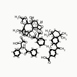 C=C(c1ccc(C(=O)O)cc1)c1cc2c(cc1C)C(C)(C)CCC2(C)C.CC(=O)O[C@H]1C(=O)[C@@]2(C)[C@H]([C@H](OC(=O)c3ccccc3)[C@]3(O)C[C@H](OC(=O)[C@H](O)[C@@H](NC(=O)c4ccccc4)c4ccccc4)C(C)=C1C3(C)C)[C@]1(OC(C)=O)CO[C@@H]1C[C@@H]2O